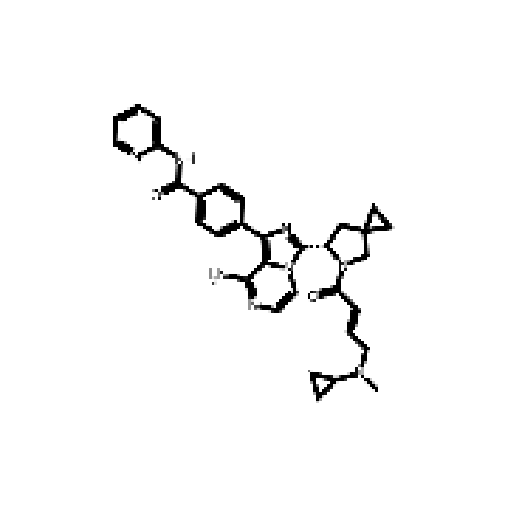 CN(C/C=C/C(=O)N1CC2(CC2)C[C@H]1c1nc(-c2ccc(C(=O)Nc3ccccn3)cc2)c2c(N)nccn12)C1CC1